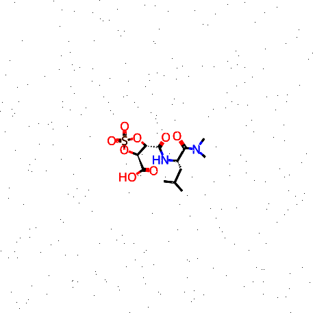 CC(C)C[C@H](NC(=O)[C@H]1OS(=O)(=O)O[C@@H]1C(=O)O)C(=O)N(C)C